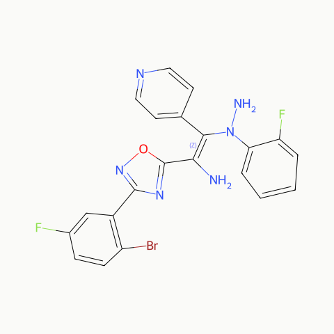 N/C(=C(/c1ccncc1)N(N)c1ccccc1F)c1nc(-c2cc(F)ccc2Br)no1